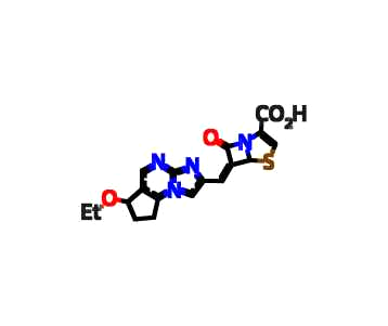 CCOC1CCc2c1cnc1nc(/C=C3\C(=O)N4C(C(=O)O)=CSC34)cn21